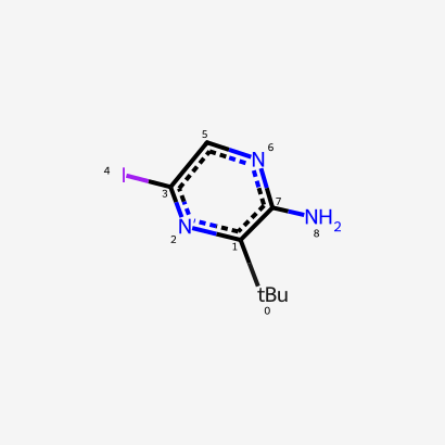 CC(C)(C)c1nc(I)cnc1N